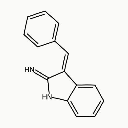 N=C1Nc2ccccc2C1=Cc1ccccc1